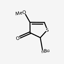 CCCCC1SC=C(OC)C1=O